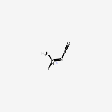 O=B/N=[PH](\P)I